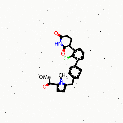 COC(=O)c1ccc(Cc2ccc(-c3cccc(C4CCC(=O)NC4=O)c3Cl)cc2)n1C